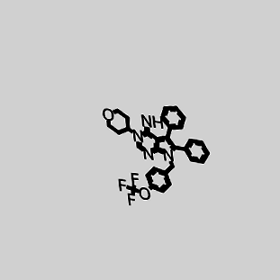 N=c1c2c(-c3ccccc3)c(-c3ccccc3)n(Cc3ccc(OC(F)(F)F)cc3)c2ncn1C1CCOCC1